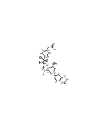 CC(C)c1cc(-c2ccc3c(c2)CCOC3)cc2c1CC(NS(=O)(=O)c1ccc(CN(C)C)cc1)OC2C